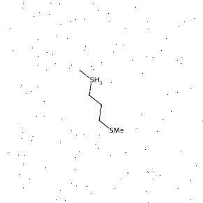 C[SiH2]CCCSC